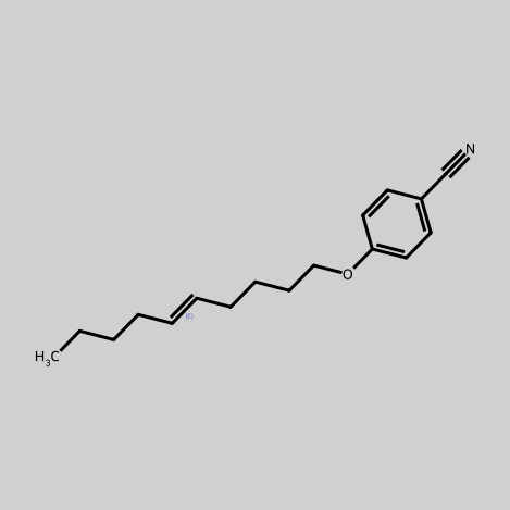 CCCC/C=C/CCCCOc1ccc(C#N)cc1